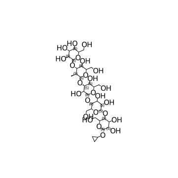 C[C@H]1C(O[C@@H]2OC(CO)[C@H](O)C(O)[C@@H]2O)[C@@H](O)C(CO)O[C@H]1O[C@@H]1C(O)[C@@H](O[C@H]2C(CO)O[C@@H](O[C@@H]3C(CO)O[C@@H](OC4CC4)[C@@H](O)C3O)[C@@H](O)C2O)OC(CO)[C@@H]1O